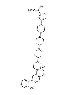 CC(C)C(C(=O)O)c1cc(N2CCC(N3CCC(N4CCC(N5CCN6c7cc(-c8ccccc8O)nnc7NC[C@H]6C5)CC4)CC3)CC2)no1